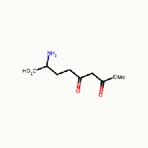 COC(=O)CC(=O)CCC(N)C(=O)O